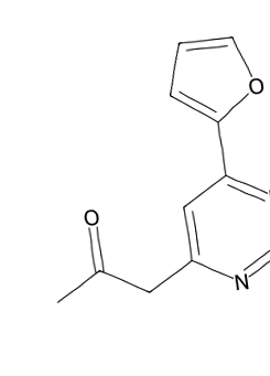 CC(=O)Cc1cc(-c2ccco2)ncn1